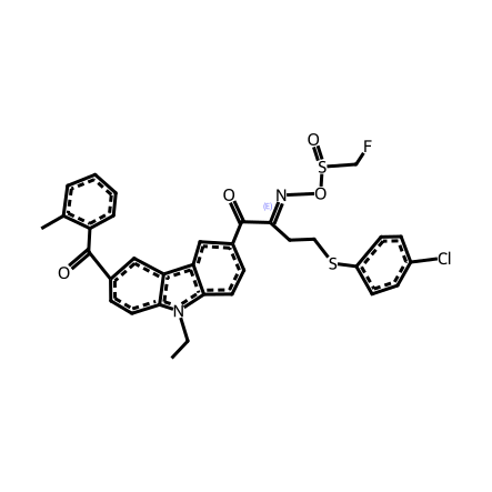 CCn1c2ccc(C(=O)/C(CCSc3ccc(Cl)cc3)=N/OS(=O)CF)cc2c2cc(C(=O)c3ccccc3C)ccc21